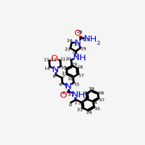 CC(NC(=O)N(CCCN1CCOCC1)Cc1ccc(CNC2CCN(C(N)=O)C2)cc1)c1cccc2ccccc12